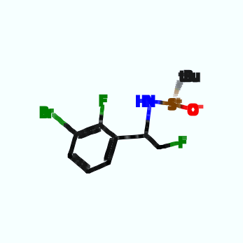 CC(C)(C)[S@+]([O-])NC(CF)c1cccc(Br)c1F